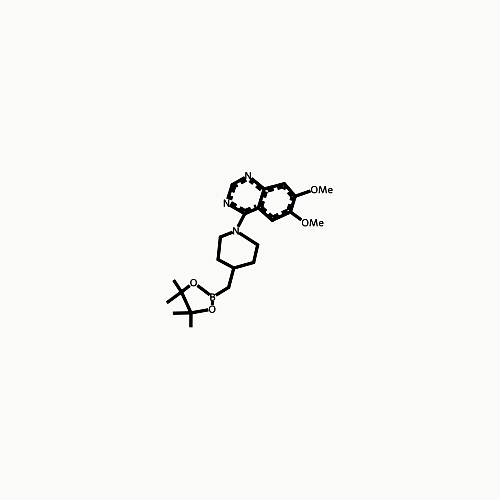 COc1cc2ncnc(N3CCC(CB4OC(C)(C)C(C)(C)O4)CC3)c2cc1OC